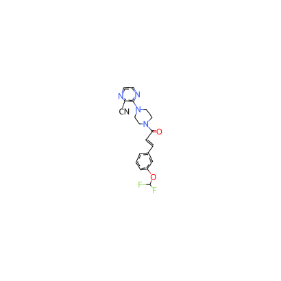 N#Cc1nccnc1N1CCN(C(=O)/C=C/c2cccc(OC(F)F)c2)CC1